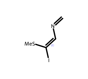 C=N/C=C(/I)SC